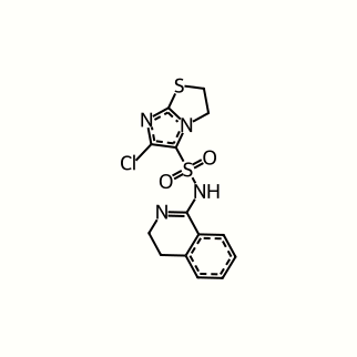 O=S(=O)(NC1=NCCc2ccccc21)c1c(Cl)nc2n1CCS2